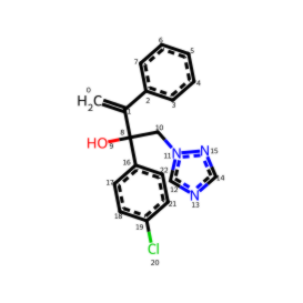 C=C(c1ccccc1)C(O)(Cn1cncn1)c1ccc(Cl)cc1